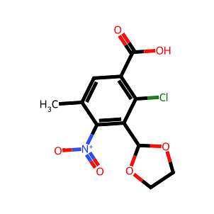 Cc1cc(C(=O)O)c(Cl)c(C2OCCO2)c1[N+](=O)[O-]